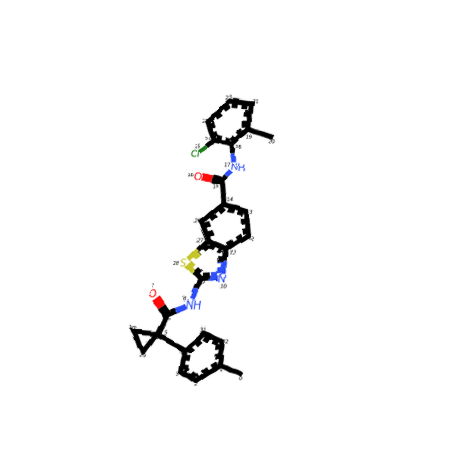 Cc1ccc(C2(C(=O)Nc3nc4ccc(C(=O)Nc5c(C)cccc5Cl)cc4s3)CC2)cc1